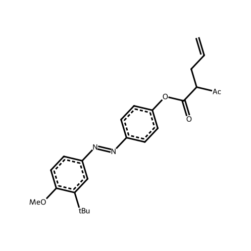 C=CCC(C(C)=O)C(=O)Oc1ccc(N=Nc2ccc(OC)c(C(C)(C)C)c2)cc1